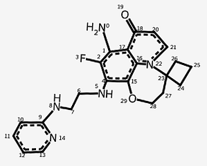 Nc1c(F)c(NCCNc2ccccn2)c2c3c1c(=O)ccn3C1(CCC1)CCO2